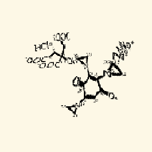 Cl.O=C([O-])CC(O)(CC(=O)[O-])C(=O)[O-].O=C1C=C(N2CC2)C(=O)C(N2CC2)=C1N1CC1.[Na+].[Na+].[Na+]